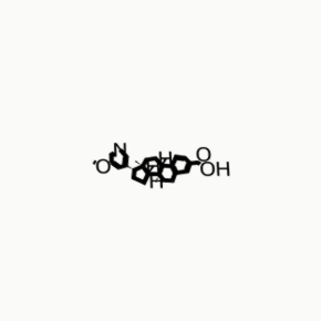 COc1cncc([C@H]2CC[C@H]3[C@@H]4CCc5cc(C(=O)O)ccc5[C@H]4CC[C@]23C)c1